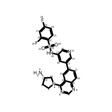 N[C@H]1CCN(c2ncnc3ccc(-c4cncc(NS(=O)(=O)c5ccc(F)cc5F)c4)cc23)C1